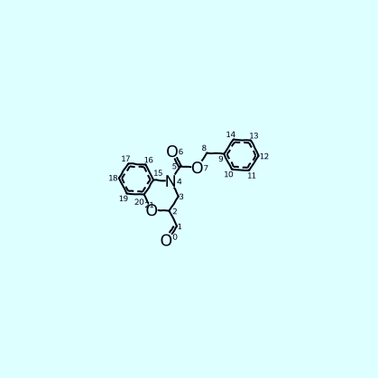 O=CC1CN(C(=O)OCc2ccccc2)c2ccccc2O1